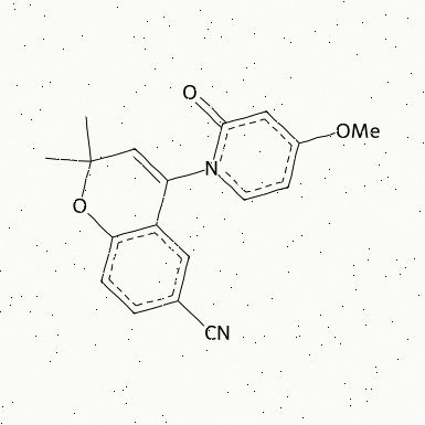 COc1ccn(C2=CC(C)(C)Oc3ccc(C#N)cc32)c(=O)c1